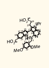 COc1ccc(CNc2ncnc3c2c(-c2cc4ccc(C(=O)O)cc4[nH]2)c(CCC(=O)O)n3C(C)C)c(OC)c1